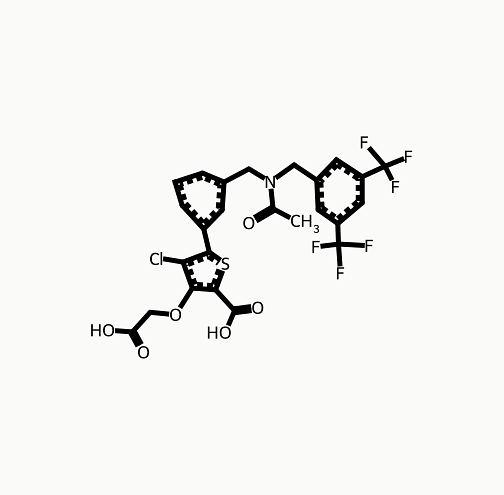 CC(=O)N(Cc1cccc(-c2sc(C(=O)O)c(OCC(=O)O)c2Cl)c1)Cc1cc(C(F)(F)F)cc(C(F)(F)F)c1